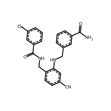 N#Cc1ccc(CNC(=O)c2cccc(Cl)c2)c(NCc2cccc(C(N)=O)c2)c1